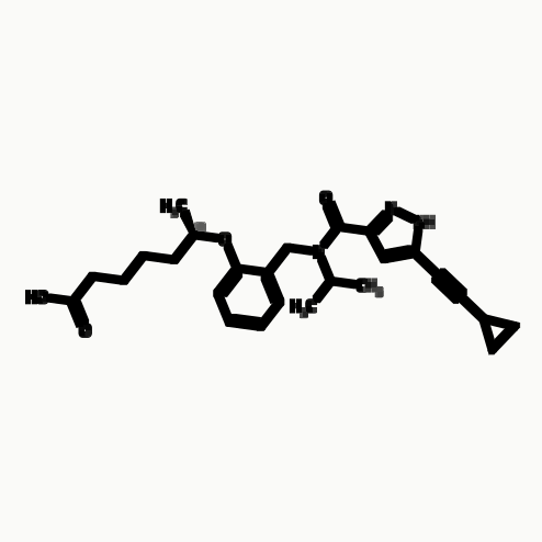 CC(C)N(Cc1ccccc1O[C@H](C)CCCCC(=O)O)C(=O)c1cc(C#CC2CC2)[nH]n1